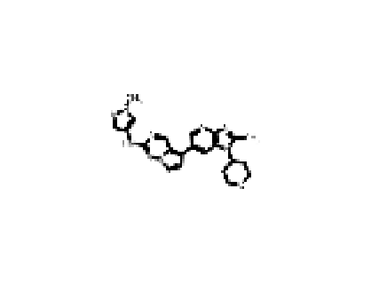 Cc1nc2ncc(-c3ccn4nc(Nc5cnn(C)c5)ncc34)cc2n1C1CCOCC1